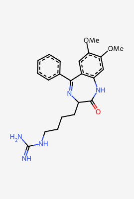 COc1cc2c(cc1OC)C(c1ccccc1)=NC(CCCCNC(=N)N)C(=O)N2